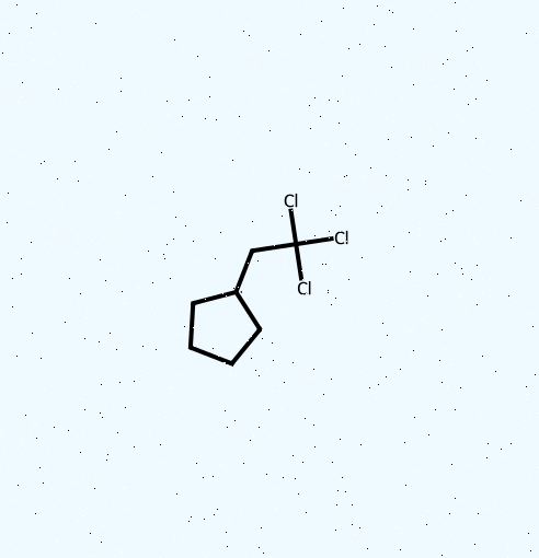 ClC(Cl)(Cl)C[C]1CCCC1